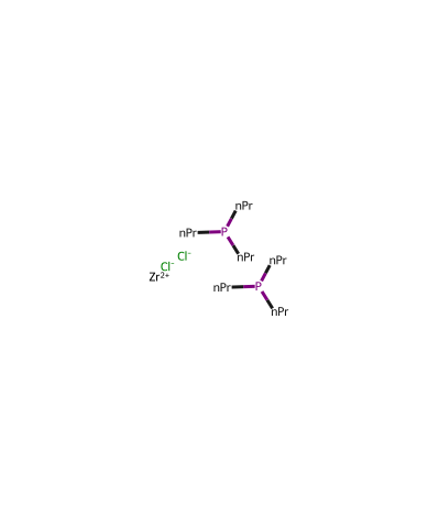 CCCP(CCC)CCC.CCCP(CCC)CCC.[Cl-].[Cl-].[Zr+2]